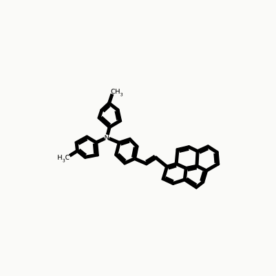 Cc1ccc(N(c2ccc(C)cc2)c2ccc(/C=C/c3ccc4ccc5cccc6ccc3c4c56)cc2)cc1